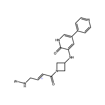 CC(C)NC/C=C/C(=O)N1CC(Nc2cc(-c3ccncc3)c[nH]c2=O)C1